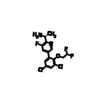 C[C@@H](N)c1ncc(-c2cc(Cl)cc(Cl)c2OCC(F)F)cc1F